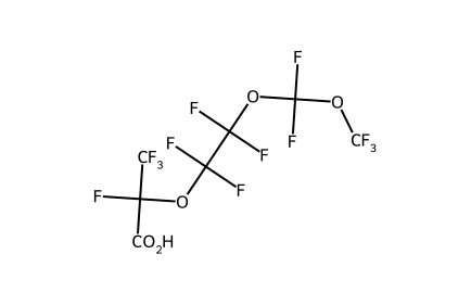 O=C(O)C(F)(OC(F)(F)C(F)(F)OC(F)(F)OC(F)(F)F)C(F)(F)F